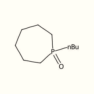 CCCCP1(=O)CCCCCC1